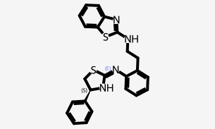 c1ccc([C@H]2CS/C(=N/c3ccccc3CCNc3nc4ccccc4s3)N2)cc1